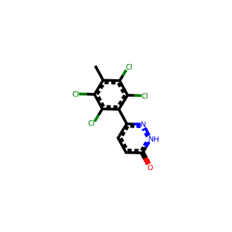 Cc1c(Cl)c(Cl)c(-c2ccc(=O)[nH]n2)c(Cl)c1Cl